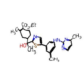 CCOC(=O)C1CCC(C(C)(O)c2ncc(-c3cc(C)cc(Nc4nccc(C)n4)c3)s2)CC1C